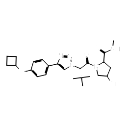 CNC(=O)C1CC(O)CN1C(=O)[C@@H](n1cc(-c2ccc(OC3CCC3)cc2)nn1)C(C)(C)C